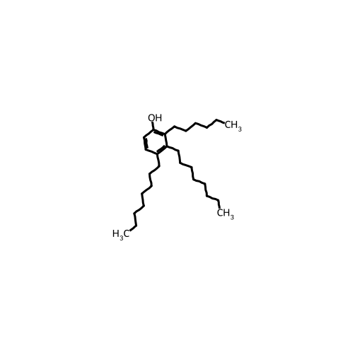 CCCCCCCCc1ccc(O)c(CCCCCC)c1CCCCCCCC